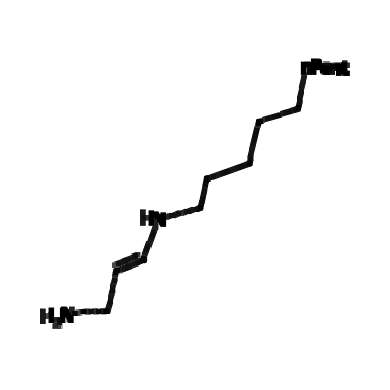 CCCCCCCCCCNC=CCN